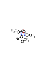 Cc1ccc2c(c1)c1ccccc1n2-c1cc(C#N)c(-c2ccccc2C(F)(F)F)cc1-n1c2ccccc2c2cc(C)ccc21